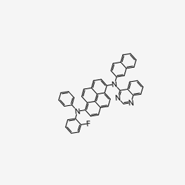 Fc1ccccc1N(c1ccccc1)c1ccc2ccc3c(N(c4ccc5ccccc5c4)c4ncnc5ccccc45)ccc4ccc1c2c43